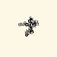 C=CCC(CC(=O)NC(Cc1ccc(OC(C)(C)C)cc1)C(=O)N(Cc1cccc2scnc12)CC(OCC)OCC)NC(=O)NCc1ccccc1